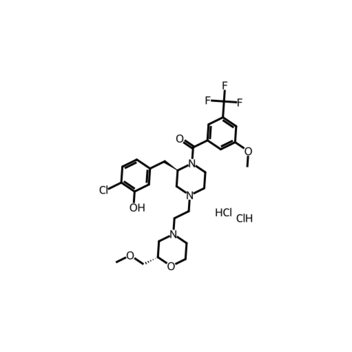 COC[C@@H]1CN(CCN2CCN(C(=O)c3cc(OC)cc(C(F)(F)F)c3)[C@H](Cc3ccc(Cl)c(O)c3)C2)CCO1.Cl.Cl